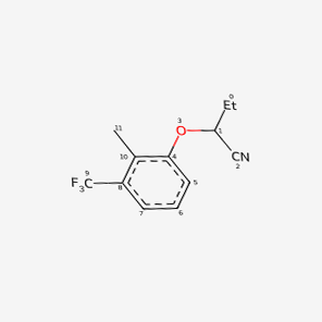 CCC(C#N)Oc1cccc(C(F)(F)F)c1C